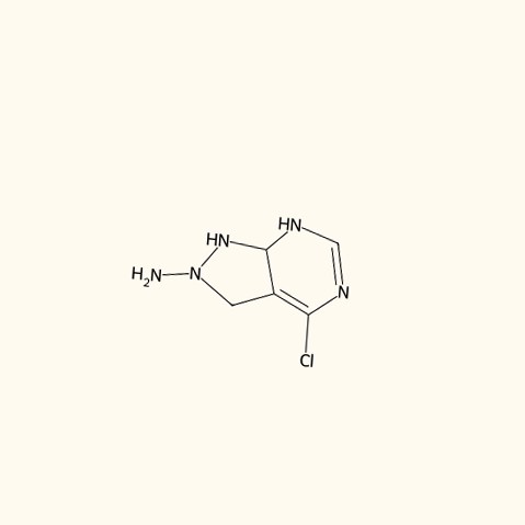 NN1CC2=C(Cl)N=CNC2N1